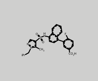 Cc1c(S(=O)(=O)Nc2ccc(-c3cc(C(=O)O)ccc3F)c3ccccc23)cnn1CC(C)C